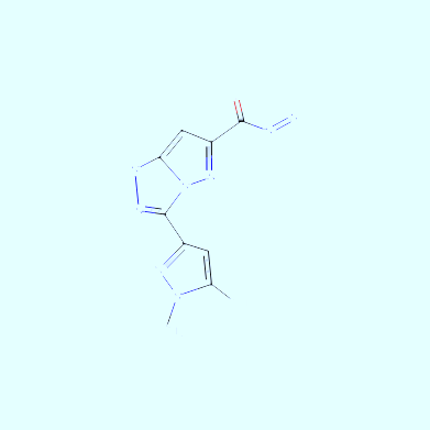 Cc1cc(-c2n[nH]c3cc(C(=O)N=N)nn23)nn1C